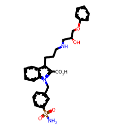 NS(=O)(=O)c1cccc(Cn2c(C(=O)O)c(CCCNCC(O)COc3ccccc3)c3ccccc32)c1